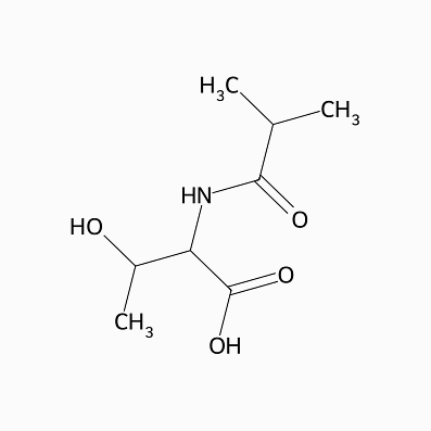 CC(C)C(=O)NC(C(=O)O)C(C)O